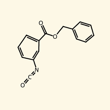 O=C=Nc1cccc(C(=O)OCc2ccccc2)c1